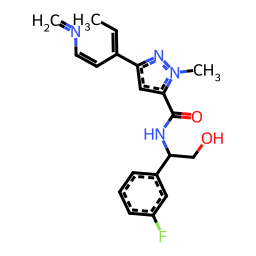 C=N/C=C\C(=C/C)c1cc(C(=O)NC(CO)c2cccc(F)c2)n(C)n1